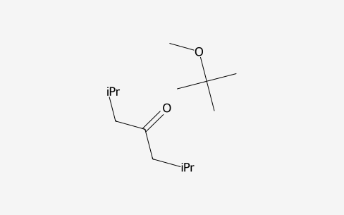 CC(C)CC(=O)CC(C)C.COC(C)(C)C